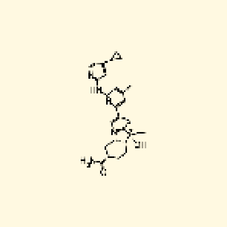 CC[C@](O)(c1ncc(-c2cc(C)cc(Nc3cc(C4CC4)ccn3)n2)s1)[C@H]1CC[C@H](C(N)=O)CC1